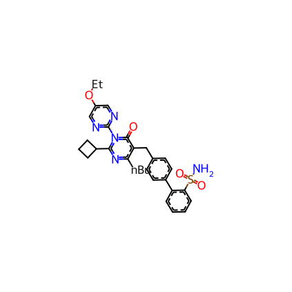 CCCCc1nc(C2CCC2)n(-c2ncc(OCC)cn2)c(=O)c1Cc1ccc(-c2ccccc2S(N)(=O)=O)cc1